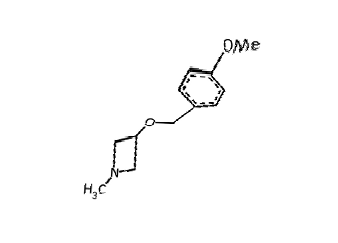 COc1ccc(COC2CN(C)C2)cc1